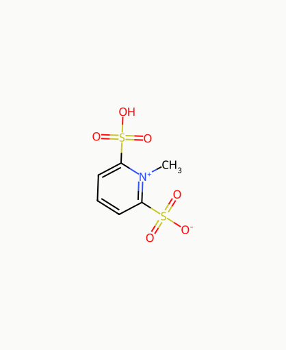 C[n+]1c(S(=O)(=O)[O-])cccc1S(=O)(=O)O